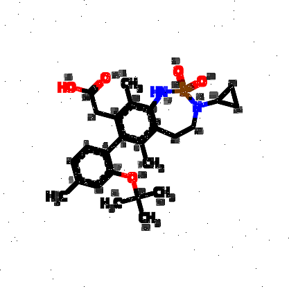 Cc1ccc(-c2c(C)c3c(c(C)c2CC(=O)O)NS(=O)(=O)N(C2CC2)CC3)c(OC(C)(C)C)c1